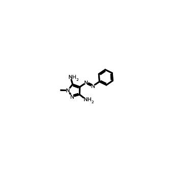 Cn1nc(N)c(/N=N/c2ccccc2)c1N